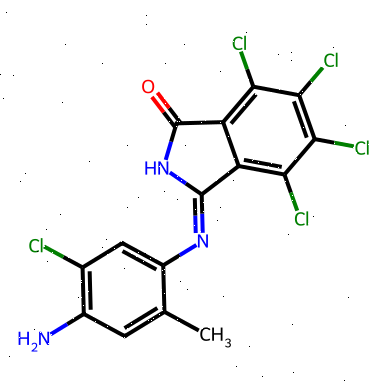 Cc1cc(N)c(Cl)cc1N=C1NC(=O)c2c(Cl)c(Cl)c(Cl)c(Cl)c21